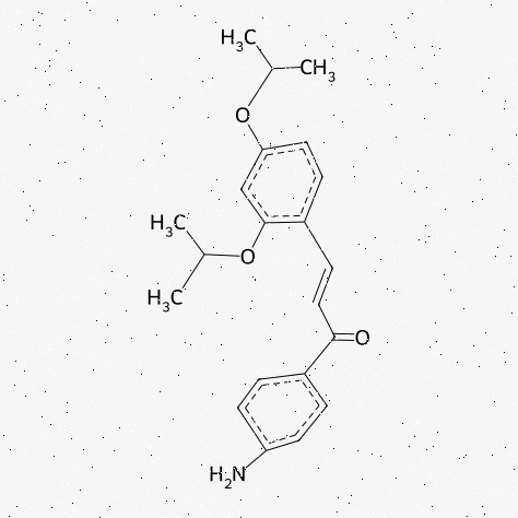 CC(C)Oc1ccc(C=CC(=O)c2ccc(N)cc2)c(OC(C)C)c1